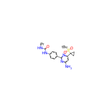 CC(C)NC(=O)Nc1ccc(-c2nc(N)cc(C3(S(=O)(=O)C(C)(C)C)CC3)n2)cc1